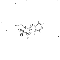 CN1[C@@H](Cc2ccccc2)C(=O)N(CF)S1(=O)=O